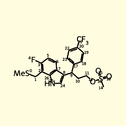 CSCc1c(F)ccc2c(C(CCOS(C)(=O)=O)c3ccc(C(F)(F)F)cc3)c[nH]c12